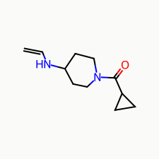 C=CNC1CCN(C(=O)C2CC2)CC1